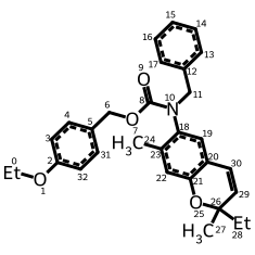 CCOc1ccc(COC(=O)N(Cc2ccccc2)c2cc3c(cc2C)OC(C)(CC)C=C3)cc1